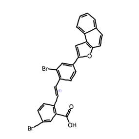 O=C(O)c1cc(Br)ccc1/C=C/c1ccc(-c2cc3c(ccc4ccccc43)o2)cc1Br